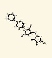 C=C1NC(=O)SC1Cc1cc(C)n(-c2ccc(-c3ccccc3)cc2)c1C